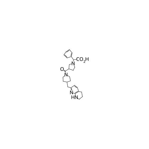 O=C(O)C(c1ccccc1)N1CCC(C(=O)N2CCC(Cc3ccc4c(n3)NCCC4)CC2)C1